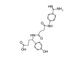 N=C(N)c1ccc(NC(=O)CCC(=O)NC(CCC(=O)O)c2ccc(O)cc2)cc1